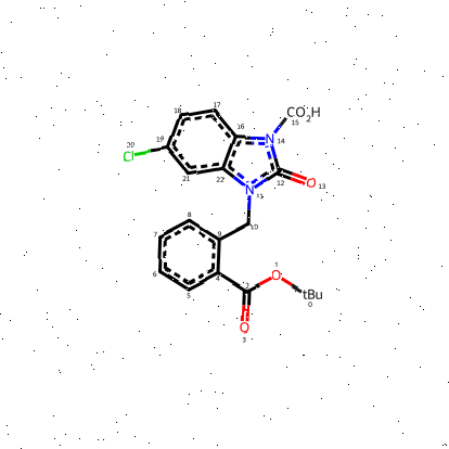 CC(C)(C)OC(=O)c1ccccc1Cn1c(=O)n(C(=O)O)c2ccc(Cl)cc21